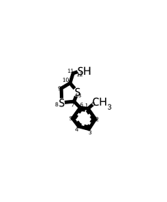 Cc1ccccc1C1SCC(CS)S1